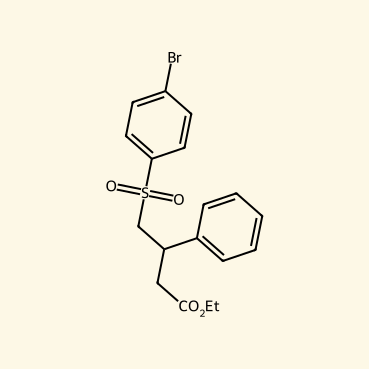 CCOC(=O)CC(CS(=O)(=O)c1ccc(Br)cc1)c1ccccc1